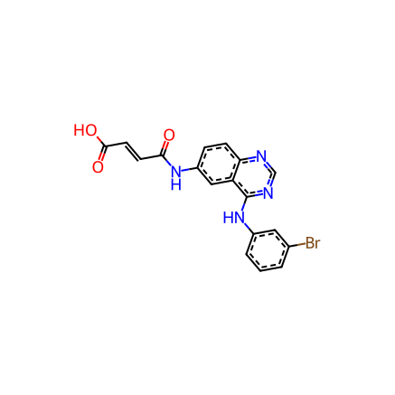 O=C(O)C=CC(=O)Nc1ccc2ncnc(Nc3cccc(Br)c3)c2c1